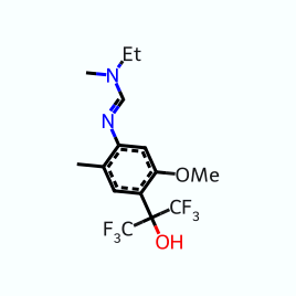 CCN(C)/C=N/c1cc(OC)c(C(O)(C(F)(F)F)C(F)(F)F)cc1C